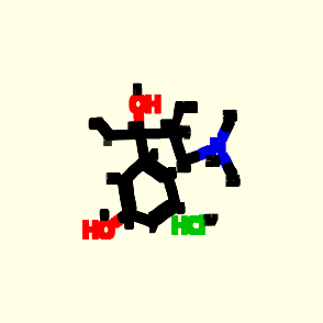 CCC(O)(c1cccc(O)c1)[C@@H](C)CN(C)C.Cl